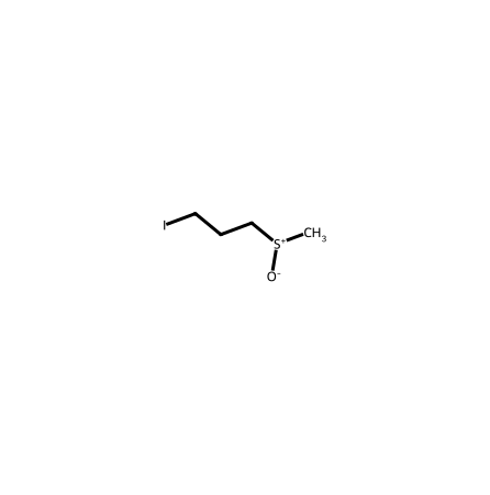 C[S+]([O-])CCCI